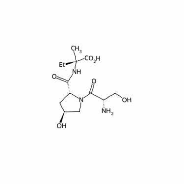 CC[C@](C)(NC(=O)[C@H]1C[C@H](O)CN1C(=O)[C@@H](N)CO)C(=O)O